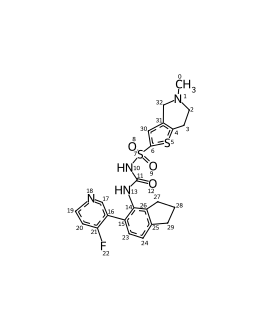 CN1CCc2sc(S(=O)(=O)NC(=O)Nc3c(-c4cnccc4F)ccc4c3CCC4)cc2C1